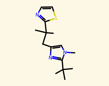 Cn1cc(CC(C)(C)c2nccs2)nc1C(C)(C)C